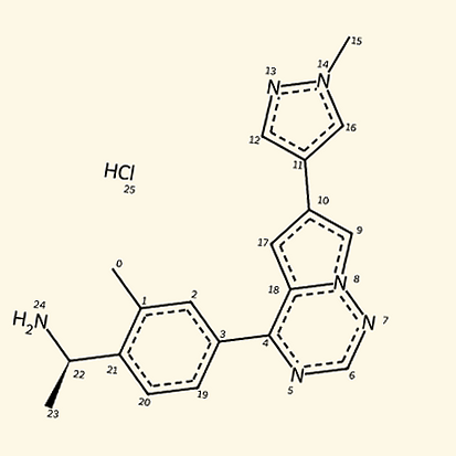 Cc1cc(-c2ncnn3cc(-c4cnn(C)c4)cc23)ccc1[C@@H](C)N.Cl